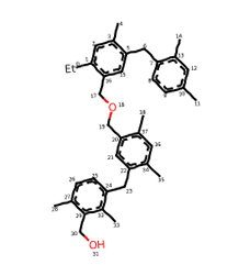 CCc1cc(C)c(Cc2ccc(C)cc2C)cc1COCc1cc(Cc2ccc(C)c(CO)c2C)c(C)cc1C